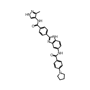 Cc1n[nH]cc1NC(=O)c1ccc(-c2nc3cc(NC(=O)c4ccc(N5CCCC5)cc4)ccc3[nH]2)cc1